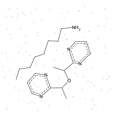 CC(OC(C)c1ncccn1)c1ncccn1.CCCCCCCCN